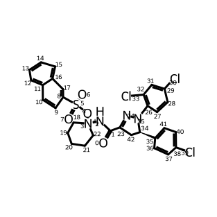 O=C(N[N+]1(OS(=O)(=O)c2ccc3ccccc3c2)CCCCC1)C1=NN(c2ccc(Cl)cc2Cl)[C@@H](c2ccc(Cl)cc2)C1